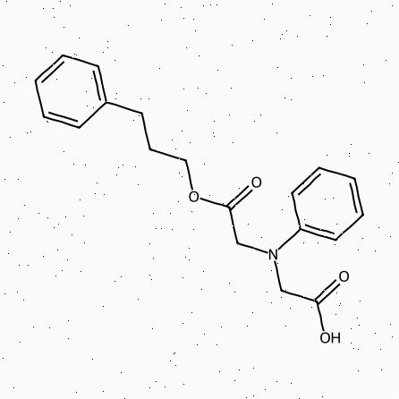 O=C(O)CN(CC(=O)OCCCc1ccccc1)c1ccccc1